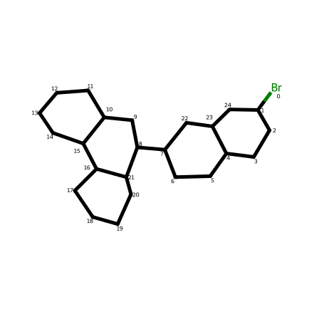 BrC1CCC2CCC(C3CC4CCCCC4C4CCCCC34)CC2C1